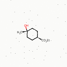 CCOC(=O)[C@H]1CC[C@](C)(O)CC1